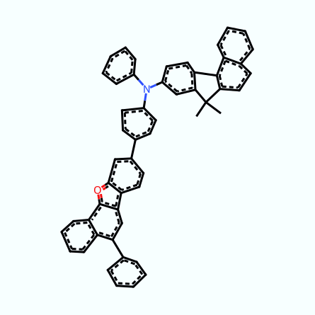 CC1(C)c2cc(N(c3ccccc3)c3ccc(-c4ccc5c(c4)oc4c6ccccc6c(-c6ccccc6)cc54)cc3)ccc2-c2c1ccc1ccccc21